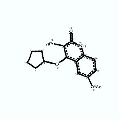 CCCc1c(OC2CCCC2)c2cc(OC)ccc2[nH]c1=O